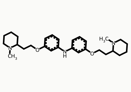 CN1CCCCC1CCOc1cccc(Nc2cccc(OCCC3CCCCN3C)c2)c1